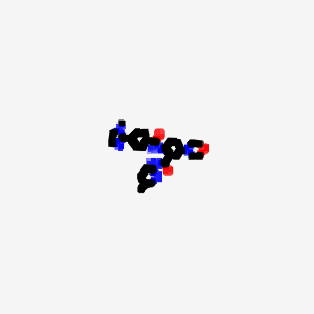 Cc1ccc(NC(=O)c2cc(N3CCOCC3)ccc2NC(=O)c2ccc(C3=NCCN3C)cc2)nc1